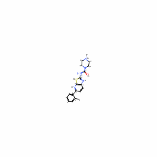 Cc1ccccc1-c1ccc2nc(NC(=O)N3CCN(C)CC3)sc2n1